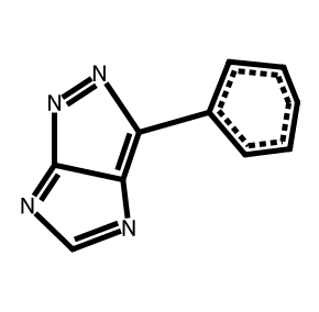 C1=NC2=C(c3ccccc3)N=NC2=N1